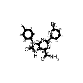 Cc1ccc(-n2c(=O)[nH]c3c(C(N)=O)nc(-c4cccc(Br)n4)nc32)cc1